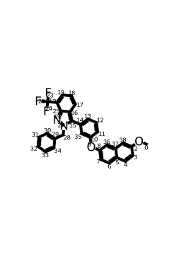 COc1ccc2ccc(Oc3cccc(-c4c5cccc(C(F)(F)F)c5nn4Cc4ccccc4)c3)cc2c1